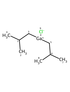 CC(C)[CH2][Ga+][CH2]C(C)C.[Cl-]